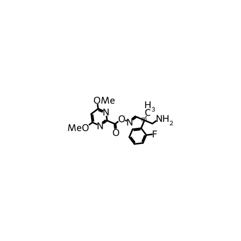 COc1cc(OC)nc(C(=O)ON=C[C@@](C)(CN)c2ccccc2F)n1